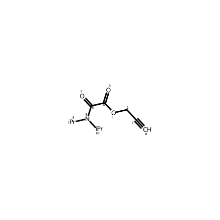 C#CCOC(=O)C(=O)N(C(C)C)C(C)C